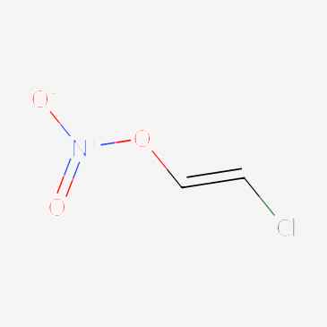 O=[N+]([O-])OC=CCl